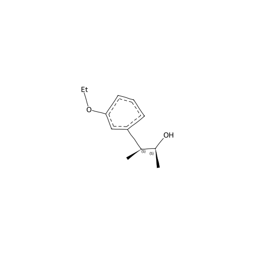 CCOc1cccc([C@H](C)[C@H](C)O)c1